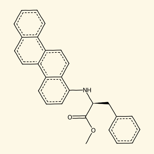 COC(=O)[C@H](Cc1ccccc1)Nc1cccc2c1ccc1c3ccccc3ccc21